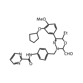 CCC1OC(C=O)N(Cc2ccc(NC(=O)c3ncccn3)cc2)N=C1c1ccc(OC)c(OC2CCCC2)c1